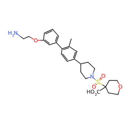 Cc1cc(C2CCN(S(=O)(=O)C3(C(=O)O)CCOCC3)CC2)ccc1-c1cccc(OCCN)c1